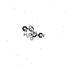 Cn1c(N2CCOC(c3ccccn3)C2)nc(-c2ccncc2)cc1=O